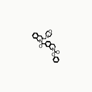 O=C(Oc1ccccc1)N1CCc2ccc(C(=O)N3Cc4ccccc4C[C@H]3CN3CCOCC3)cc2C1